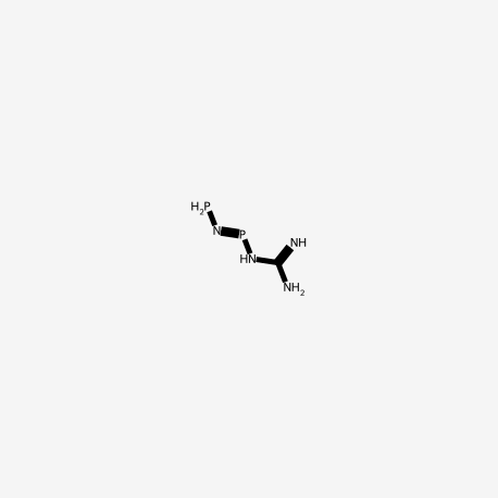 N=C(N)NP=NP